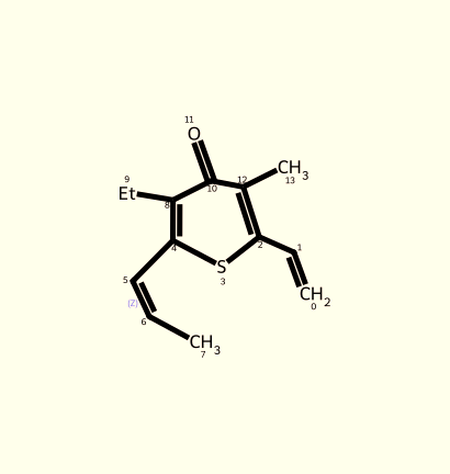 C=Cc1sc(/C=C\C)c(CC)c(=O)c1C